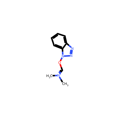 C[N+](C)=COn1nnc2ccccc21